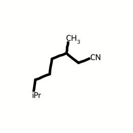 CC(C)CCCC(C)CC#N